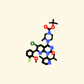 COc1c(F)cccc1-c1nc2c(cc1Cl)c(N1CCN(C(=O)OC(C)(C)C)CC1C)nc(=O)n2-c1c(C)ccnc1C(C)C